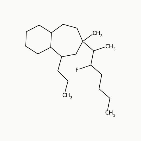 CCCCC(F)C(C)C1(C)CCC2CCCCC2C(CCC)C1